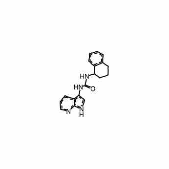 O=C(Nc1c[nH]c2ncccc12)NC1CCCc2ccccc21